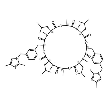 Cc1cn(Cc2ccc(C[C@H]3OC(=O)[C@H](CC(C)C)N(C)C(=O)[C@@H](C)OC(=O)[C@H](CC(C)C)N(C)C(=O)[C@@H](Cc4cccc(Cn5cc(C)nc5C)c4)OC(=O)[C@H](CC(C)C)N(C)C(=O)[C@@H](C)OC(=O)[C@H](CC(C)C)N(C)C3=O)cc2)c(C)n1